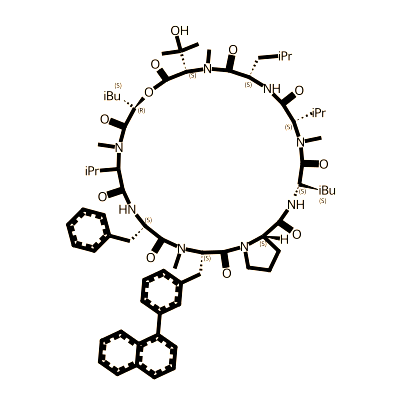 CC[C@H](C)[C@@H]1NC(=O)[C@@H]2CCCN2C(=O)[C@H](Cc2cccc(-c3cccc4ccccc34)c2)N(C)C(=O)[C@H](Cc2ccccc2)NC(=O)C(C(C)C)N(C)C(=O)[C@@H]([C@@H](C)CC)OC(=O)[C@H](C(C)(C)O)N(C)C(=O)[C@H](CC(C)C)NC(=O)[C@H](C(C)C)N(C)C1=O